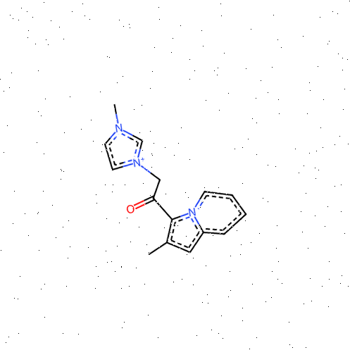 Cc1cc2ccccn2c1C(=O)C[n+]1ccn(C)c1